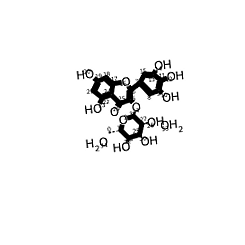 C[C@@H]1O[C@@H](Oc2c(-c3cc(O)c(O)c(O)c3)oc3cc(O)cc(O)c3c2=O)[C@H](O)[C@H](O)[C@H]1O.O.O